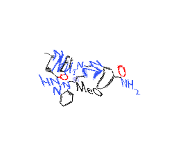 CCn1nc(C)cc1C(=O)Nc1nc2ccccc2n1C/C=C/Cn1c(N)nc2cc(C(N)=O)cc(OC)c21